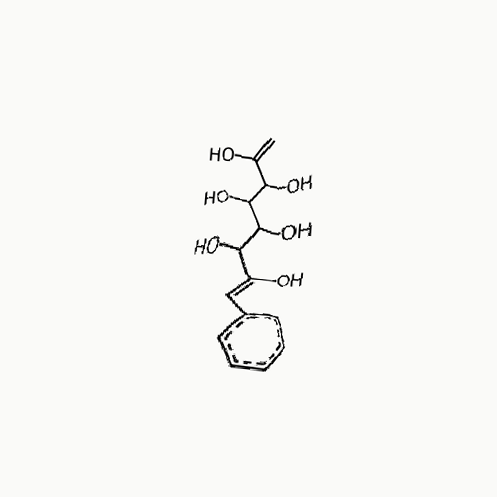 C=C(O)C(O)C(O)C(O)C(O)C(O)=Cc1ccccc1